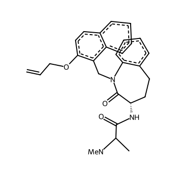 C=CCOc1ccc2ccccc2c1CN1C(=O)[C@@H](NC(=O)C(C)NC)CCc2ccccc21